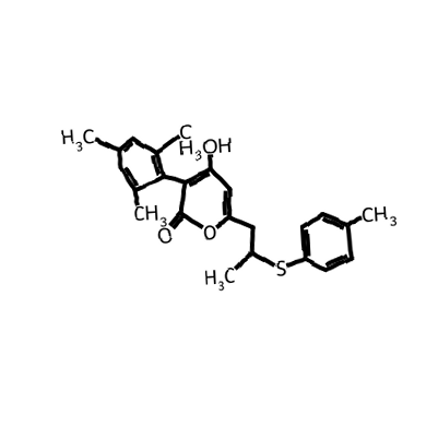 Cc1ccc(SC(C)Cc2cc(O)c(-c3c(C)cc(C)cc3C)c(=O)o2)cc1